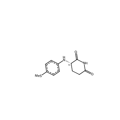 CSc1ccc(N[C@H]2CCC(=O)NC2=O)cc1